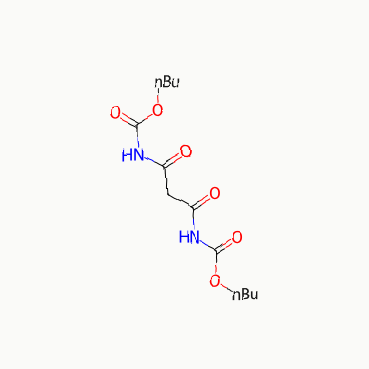 CCCCOC(=O)NC(=O)CC(=O)NC(=O)OCCCC